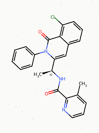 Cc1cccnc1C(=O)N[C@@H](C)c1cc2cccc(Cl)c2c(=O)n1-c1ccccc1